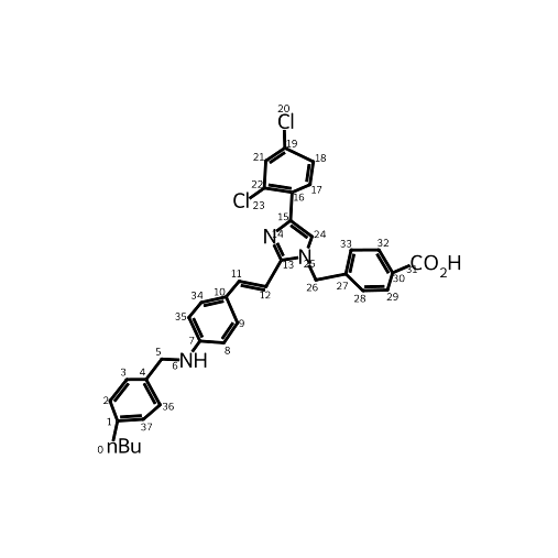 CCCCc1ccc(CNc2ccc(C=Cc3nc(-c4ccc(Cl)cc4Cl)cn3Cc3ccc(C(=O)O)cc3)cc2)cc1